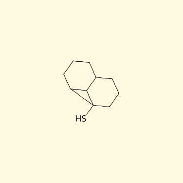 SC12CCCC3CCCC1C32